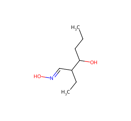 CCCC(O)C(C=NO)CC